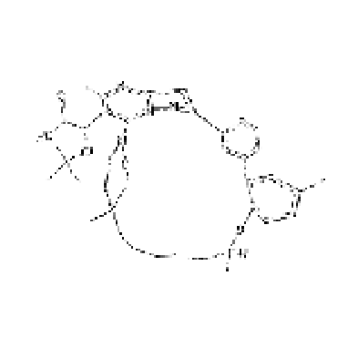 Cc1ccc2c(c1)-c1cccc(c1)-c1cc3nc(C)c([C@H](OC(C)(C)C)C(=O)O)c(n3n1)N1CCC(C)(CCC=CC[C@H](C)O2)CC1